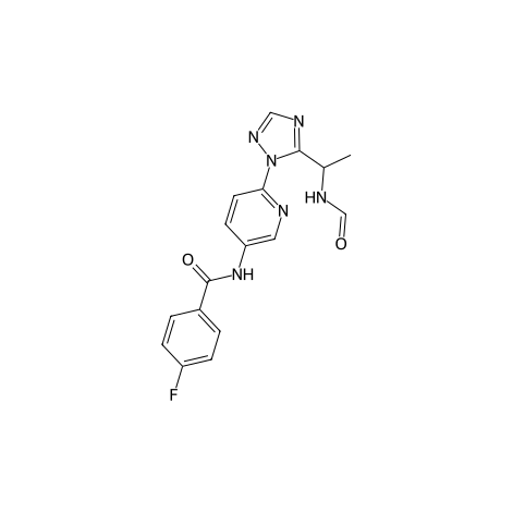 CC(NC=O)c1ncnn1-c1ccc(NC(=O)c2ccc(F)cc2)cn1